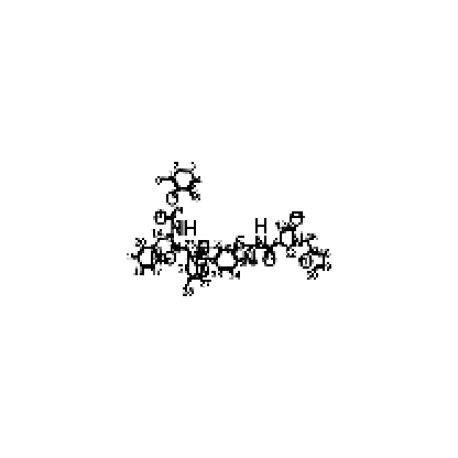 Cc1cccc(C)c1OCC(=O)N[C@@H](Cc1ccccc1)[C@H](O)CN(CC(C)C)S(=O)(=O)c1ccc2nc(NC(=O)C3CC(=O)N(Cc4ccco4)C3)sc2c1